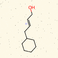 OC/C=C/CC1CCCCC1